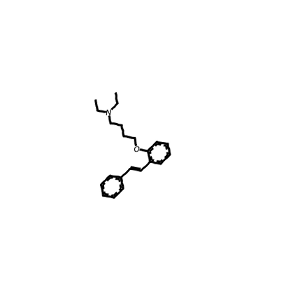 CCN(CC)CCCCOc1ccccc1C=Cc1ccccc1